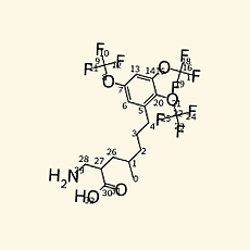 CC(CCCc1cc(OC(F)(F)F)cc(OC(F)(F)F)c1OC(F)(F)F)CC(CN)C(=O)O